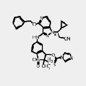 CC1(C)C(OC(=S)n2ccnc2)c2cc(Nc3nn([C@H](CC#N)C4CC4)c4ccnc(OCc5ccccc5)c34)ccc2S1(=O)=O